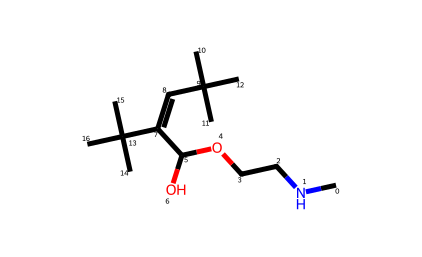 CNCCOC(O)/C(=C\C(C)(C)C)C(C)(C)C